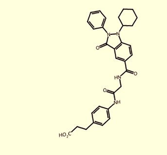 O=C(O)CCc1ccc(NC(=O)CNC(=O)c2ccc3c(c2)c(=O)n(-c2ccccc2)n3C2CCCCC2)cc1